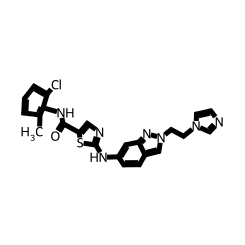 Cc1cccc(Cl)c1NC(=O)c1cnc(Nc2ccc3cn(CCn4ccnc4)nc3c2)s1